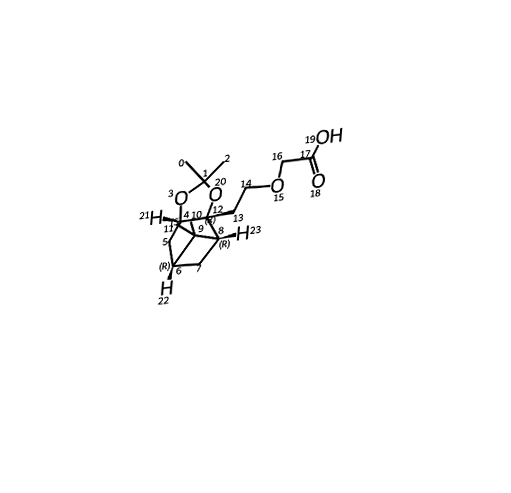 CC1(C)O[C@H]2C[C@H]3C[C@H](C3(C)C)[C@@]2(CCOCC(=O)O)O1